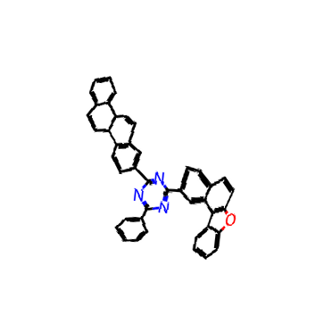 C1=CC2c3ccc(-c4nc(-c5ccccc5)nc(-c5ccc6ccc7oc8ccccc8c7c6c5)n4)cc3C=CC2c2ccccc21